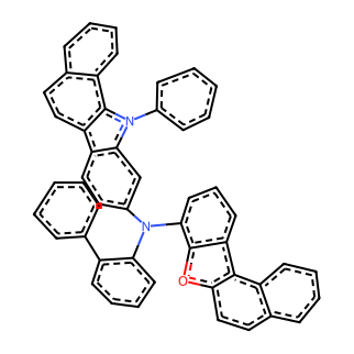 c1ccc(-c2ccccc2N(c2ccc3c4ccc5ccccc5c4n(-c4ccccc4)c3c2)c2cccc3c2oc2ccc4ccccc4c23)cc1